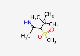 CC(=N)C([Si](C)(C)C)S(C)(=O)=O